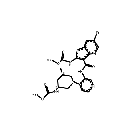 CCc1cnc2c(C(=O)Nc3cnccc3N3C[C@H](C)C[C@H](NC(=O)OC(C)(C)C)C3)c(NC(=O)OC(C)(C)C)oc2c1